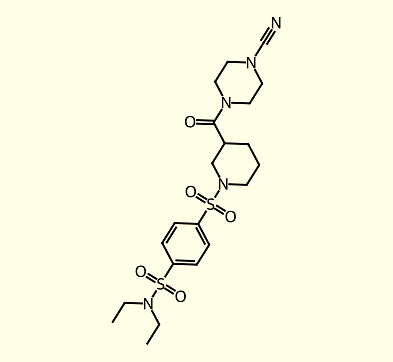 CCN(CC)S(=O)(=O)c1ccc(S(=O)(=O)N2CCCC(C(=O)N3CCN(C#N)CC3)C2)cc1